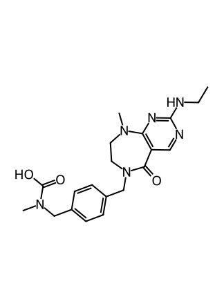 CCNc1ncc2c(n1)N(C)CCN(Cc1ccc(CN(C)C(=O)O)cc1)C2=O